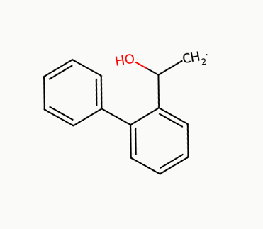 [CH2]C(O)c1ccccc1-c1ccccc1